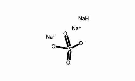 O=S(=O)([O-])[O-].[Na+].[Na+].[NaH]